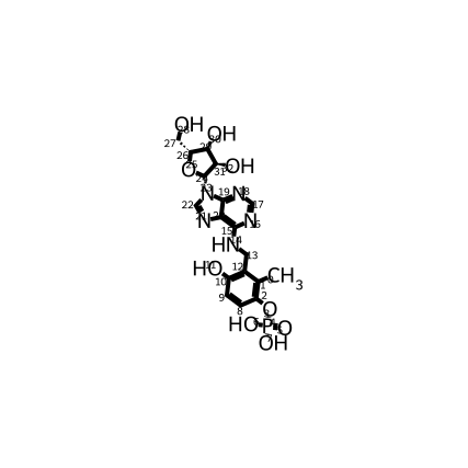 Cc1c(OP(=O)(O)O)ccc(O)c1CNc1ncnc2c1ncn2[C@@H]1O[C@H](CO)[C@@H](O)[C@H]1O